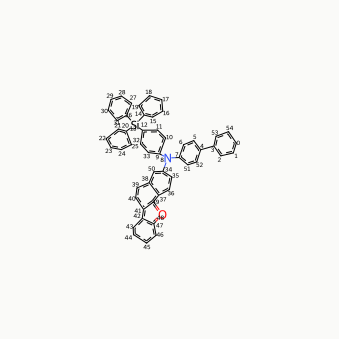 c1ccc(-c2ccc(N(c3ccc([Si](c4ccccc4)(c4ccccc4)c4ccccc4)cc3)c3ccc4c(ccc5c6ccccc6oc45)c3)cc2)cc1